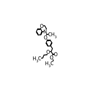 CCCCOC(Cc1ccc(OC(C)N2CCOc3ccccc32)cc1)C(=O)OCC